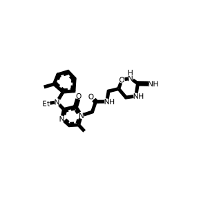 CCN(c1ccccc1C)c1ncc(C)n(CC(=O)NCC2CNC(=N)NO2)c1=O